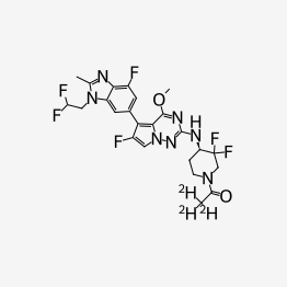 [2H]C([2H])([2H])C(=O)N1CC[C@@H](Nc2nc(OC)c3c(-c4cc(F)c5nc(C)n(CC(F)F)c5c4)c(F)cn3n2)C(F)(F)C1